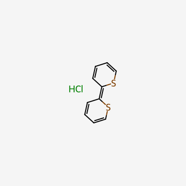 C1=CSC(=C2C=CC=CS2)C=C1.Cl